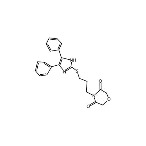 O=C1COCC(=O)N1CCCSc1nc(-c2ccccc2)c(-c2ccccc2)[nH]1